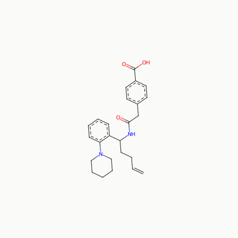 C=CCCC(NC(=O)Cc1ccc(C(=O)O)cc1)c1ccccc1N1CCCCC1